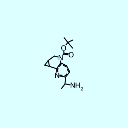 CC(N)c1ccc2c(n1)C1CC1CN2C(=O)OC(C)(C)C